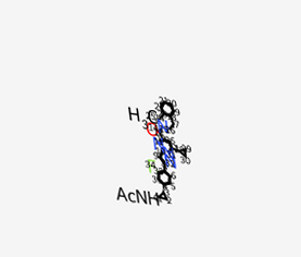 CC(=O)N[C@H]1C[C@@H]1c1ccc(-c2cc3nc(C(=O)N4CCc5ccccc5[C@H]4C)cc(C4CC4)n3n2)c(F)c1